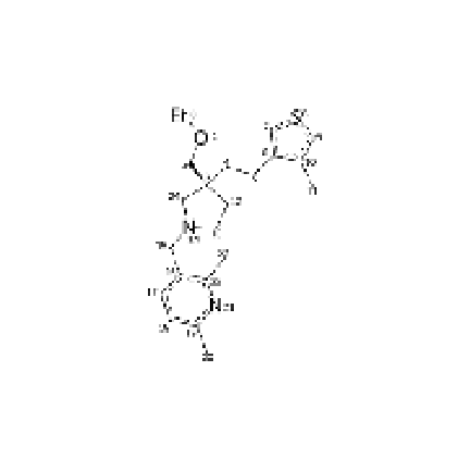 CCOC[C@@]1(CCc2cscc2C)CCN(Cc2ccc(C)nc2C)C1